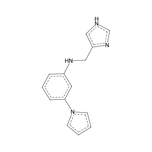 c1cc(NCc2c[nH]cn2)cc(-n2cccc2)c1